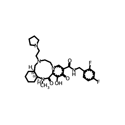 CN1C(=O)c2c(O)c(=O)c(C(=O)NCc3ccc(F)cc3F)cn2CCN(CCN2CCCC2)C[C@@H]2CCCC[C@@H]21